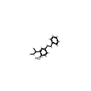 CCC(C)c1cc(CCc2ccccc2)ccc1O